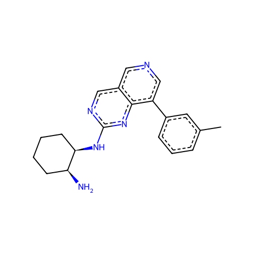 Cc1cccc(-c2cncc3cnc(N[C@@H]4CCCC[C@@H]4N)nc23)c1